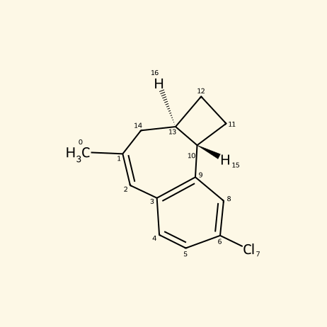 CC1=Cc2ccc(Cl)cc2[C@H]2CC[C@@H]2C1